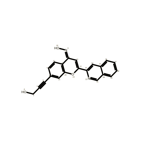 OCC#Cc1ccc2/c(=N\O)cc(-c3cc4ccccc4cn3)oc2c1